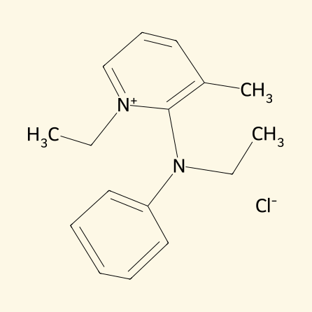 CCN(c1ccccc1)c1c(C)ccc[n+]1CC.[Cl-]